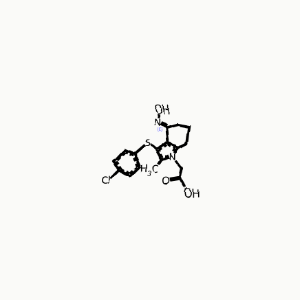 Cc1c(Sc2ccc(Cl)cc2)c2c(n1CC(=O)O)CCC/C2=N\O